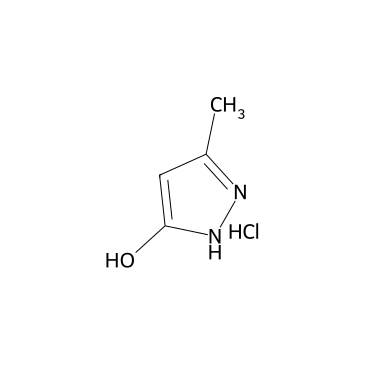 Cc1cc(O)[nH]n1.Cl